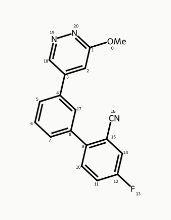 COc1cc(-c2cccc(-c3ccc(F)cc3C#N)c2)cnn1